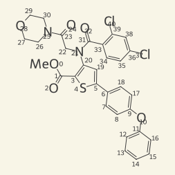 COC(=O)c1sc(-c2ccc(Oc3ccccc3)cc2)cc1N(CC(=O)N1CCOCC1)C(=O)c1ccc(Cl)cc1Cl